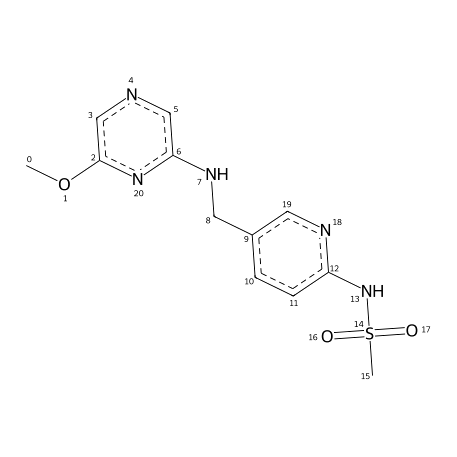 COc1cncc(NCc2ccc(NS(C)(=O)=O)nc2)n1